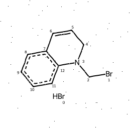 Br.BrCN1CC=Cc2ccccc21